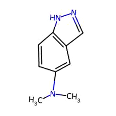 CN(C)c1ccc2[nH]ncc2c1